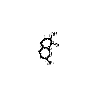 CC(C)c1ccc2ccc(O)c(Br)c2n1